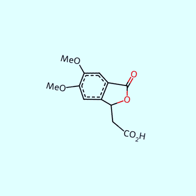 COc1cc2c(cc1OC)C(CC(=O)O)OC2=O